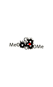 COc1ccc(C(O)(c2ccc(OC)cc2)C(O)c2ccccc2Cl)cc1